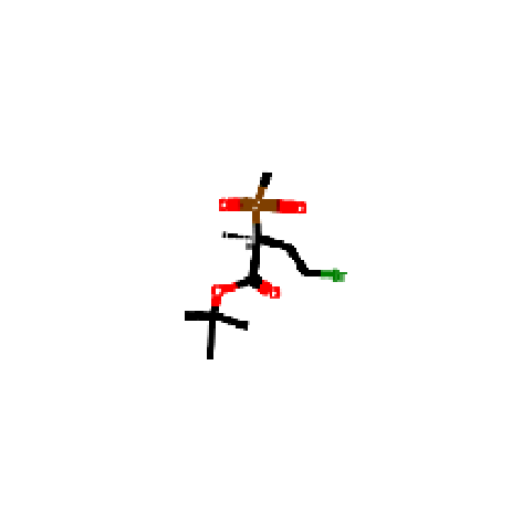 CC(C)(C)OC(=O)[C@](C)(CCBr)S(C)(=O)=O